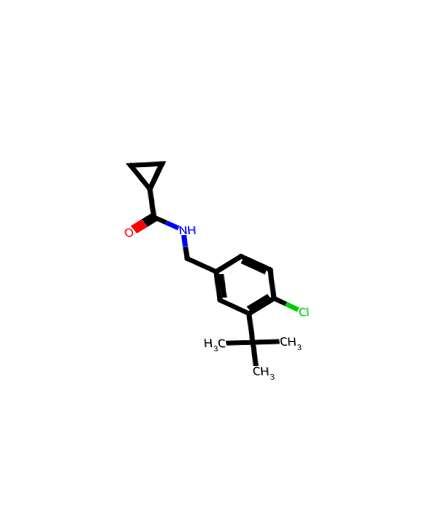 CC(C)(C)c1cc(CNC(=O)C2CC2)ccc1Cl